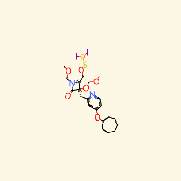 COCO[C@@]1(Cc2cc(OC3CCCCCC3)ccn2)C(=O)N(COC)[C@H]1COSP(I)I